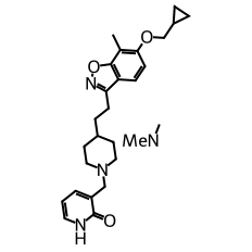 CNC.Cc1c(OCC2CC2)ccc2c(CCC3CCN(Cc4ccc[nH]c4=O)CC3)noc12